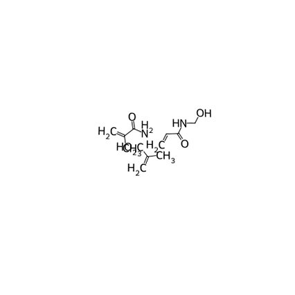 C=C(C)C(=O)O.C=C(C)C(N)=O.C=CC(=O)NCO